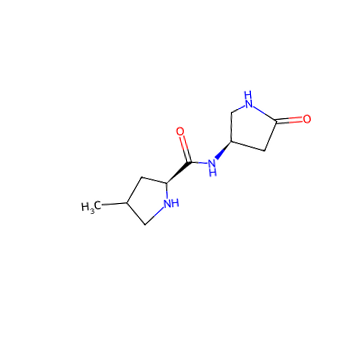 CC1CN[C@H](C(=O)N[C@H]2CNC(=O)C2)C1